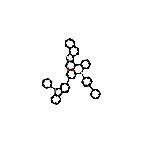 c1ccc(-c2ccc(N(c3cccc(-c4ccc5c6ccccc6n(-c6ccccc6)c5c4)c3)c3ccccc3-c3cccc4oc5c6ccccc6ccc5c34)cc2)cc1